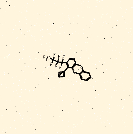 FC(F)(F)C(F)(F)C(F)(F)C(F)(F)c1ccc2c(c1C13CC(C1)C3)Sc1ccccc1S2